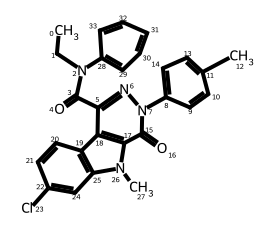 CCN(C(=O)c1nn(-c2ccc(C)cc2)c(=O)c2c1c1ccc(Cl)cc1n2C)c1ccccc1